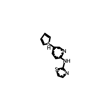 C1=C[SH](c2ccc(Nc3nccs3)nc2)C=C1